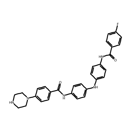 O=C(Nc1ccc(Nc2ccc(NC(=O)c3ccc(N4CCNCC4)cc3)cc2)cc1)c1ccc(F)cc1